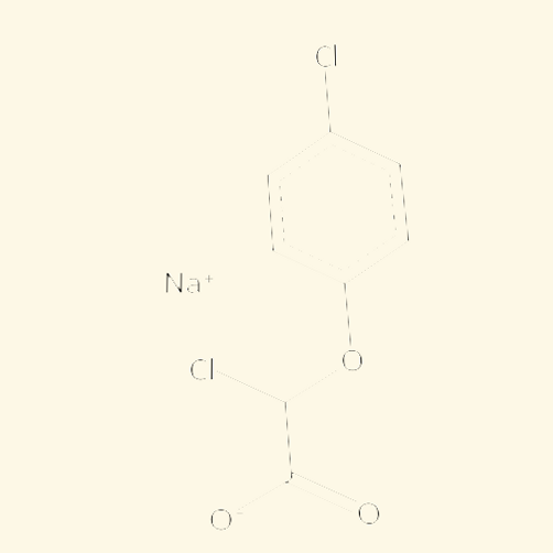 O=C([O-])C(Cl)Oc1ccc(Cl)cc1.[Na+]